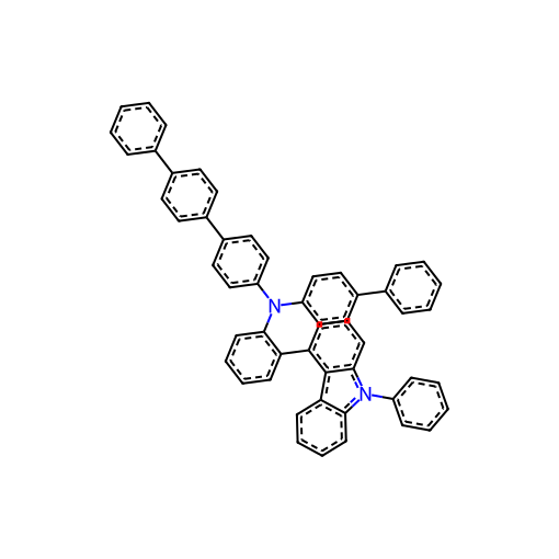 c1ccc(-c2ccc(-c3ccc(N(c4ccc(-c5ccccc5)cc4)c4ccccc4-c4cccc5c4c4ccccc4n5-c4ccccc4)cc3)cc2)cc1